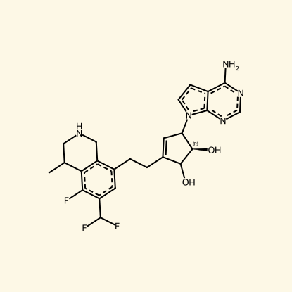 CC1CNCc2c(CCC3=CC(n4ccc5c(N)ncnc54)[C@@H](O)C3O)cc(C(F)F)c(F)c21